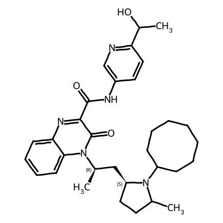 CC(O)c1ccc(NC(=O)c2nc3ccccc3n([C@H](C)C[C@@H]3CCC(C)N3C3CCCCCCC3)c2=O)cn1